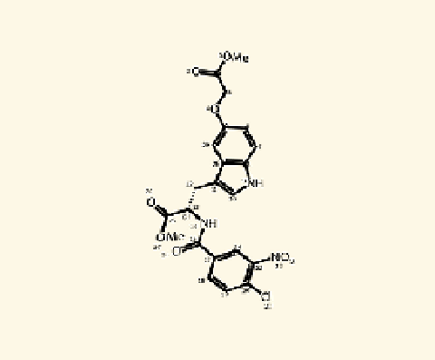 COC(=O)COc1ccc2[nH]cc(C[C@H](NC(=O)c3ccc(Cl)c([N+](=O)[O-])c3)C(=O)OC)c2c1